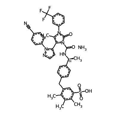 Cc1c(Cc2ccc([C@H](C)NC(=O)n3c(-c4ccnn4-c4ccc(C#N)cc4)c(C)n(-c4cccc(C(F)(F)F)c4)c3=O)cc2)cc(S(=O)(=O)O)c(C)c1C.N